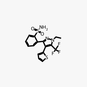 CCn1nc(-c2ccccc2S(N)(=O)=O)c(-c2cccs2)c1C(F)(F)F